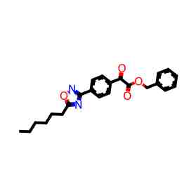 CCCCCCc1nc(-c2ccc(C(=O)C(=O)OCc3ccccc3)cc2)no1